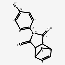 O=C1C2C3C=CC(CC3)C2C(=O)N1c1ccc(Br)cc1